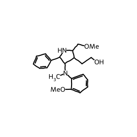 COCC1NC(c2ccccc2)C(N(C)c2ccccc2OC)C1CCO